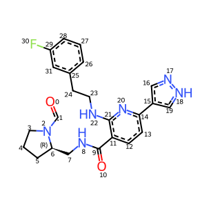 O=[C]N1CCC[C@@H]1CNC(=O)c1ccc(-c2cn[nH]c2)nc1NCCc1cccc(F)c1